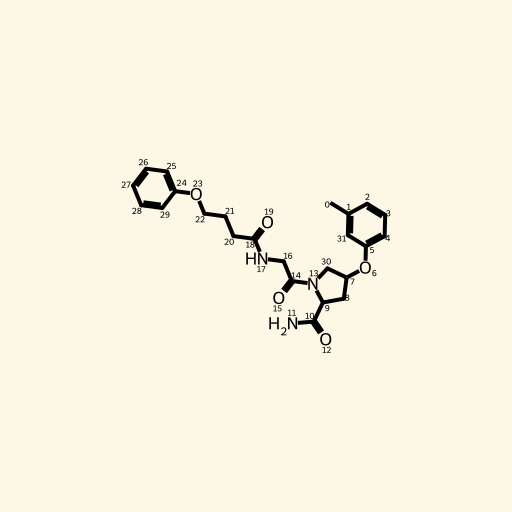 Cc1cccc(OC2CC(C(N)=O)N(C(=O)CNC(=O)CCCOc3ccccc3)C2)c1